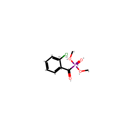 COP(=O)(OC)C(=O)c1ccccc1Cl